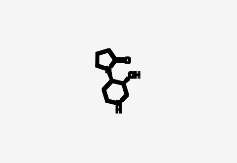 O=C1CCCN1[C@@H]1CCNC[C@@H]1O